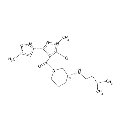 Cc1cc(-c2nn(C)c(Cl)c2C(=O)N2CCC[C@@H](NCCC(C)C)C2)no1